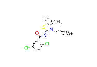 COCCn1c(C)c(C)s/c1=N\C(=O)c1cc(Cl)ccc1Cl